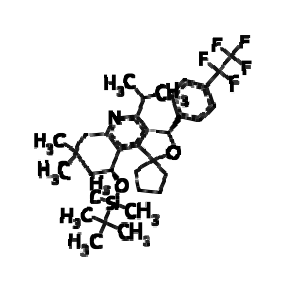 CC(C)c1nc2c(c3c1[C@@H](c1ccc(C(F)(F)C(F)(F)F)cc1)OC31CCCC1)[C@@H](O[Si](C)(C)C(C)(C)C)CC(C)(C)C2